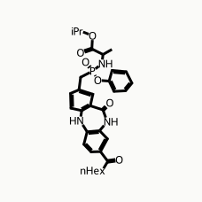 CCCCCCC(=O)c1ccc2c(c1)NC(=O)c1cc(CP(=O)(NC(C)C(=O)OC(C)C)Oc3ccccc3)ccc1N2